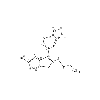 CCCCC1=C(c2ccc3c(c2)OCO3)c2cc(Br)ccc2C1